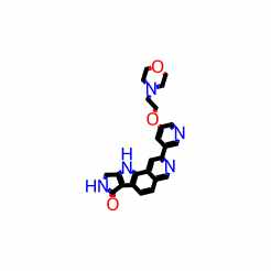 O=C1NCc2[nH]c3c(ccc4cnc(-c5cncc(OCCN6CCOCC6)c5)cc43)c21